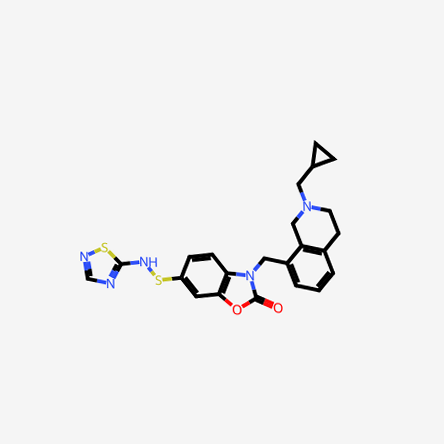 O=c1oc2cc(SNc3ncns3)ccc2n1Cc1cccc2c1CN(CC1CC1)CC2